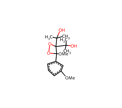 COc1cccc(C2(OC)OOC2(C(C)(C)O)C(C)(C)O)c1